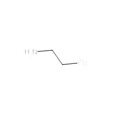 C[CH]CN